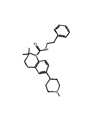 CN1CCC(c2ccc3c(c2)CCC(C)(C)N3C(=O)NCCc2ccccc2)CC1